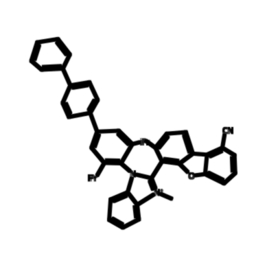 Cc1ccc2c(oc3cccc(C#N)c32)c1-c1n(-c2c(C(C)C)cc(-c3ccc(-c4ccccc4)cc3)cc2C(C)C)c2ccccc2[n+]1C